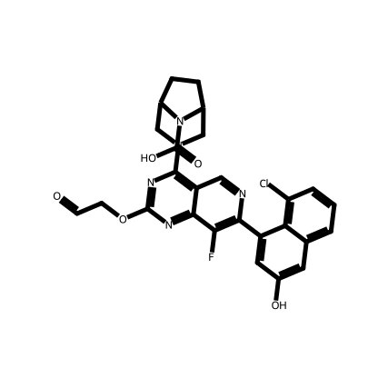 O=CCOc1nc(N2CC3CCC(C2)N3C(=O)O)c2cnc(-c3cc(O)cc4cccc(Cl)c34)c(F)c2n1